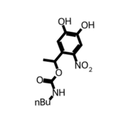 CCCCNC(=O)OC(C)c1cc(O)c(O)cc1[N+](=O)[O-]